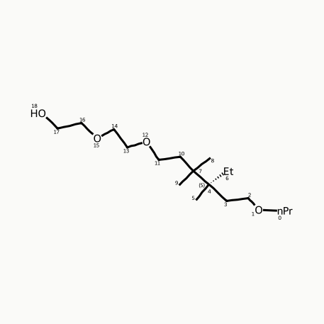 CCCOCC[C@](C)(CC)C(C)(C)CCOCCOCCO